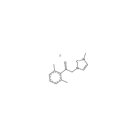 Cc1cccc(C)c1C(=O)CN1[C+]N(C)C=C1.[I-]